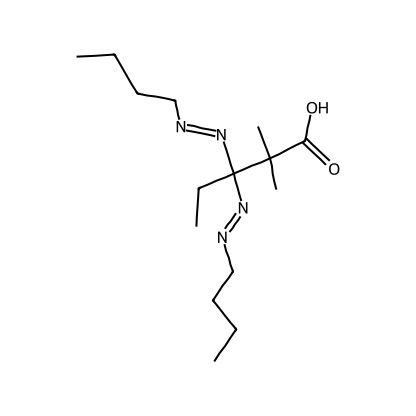 CCCCN=NC(CC)(N=NCCCC)C(C)(C)C(=O)O